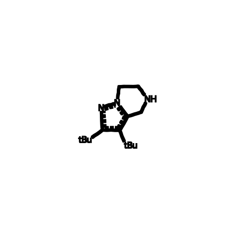 CC(C)(C)c1nn2c(c1C(C)(C)C)CNCC2